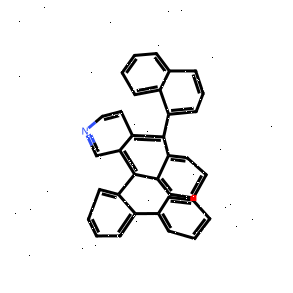 c1ccc(-c2ccccc2-c2c3ccccc3c(-c3cccc4ccccc34)c3ccncc23)cc1